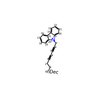 CCCCCCCCCCCCC#CC#CCn1c2ccccc2c2ccccc21